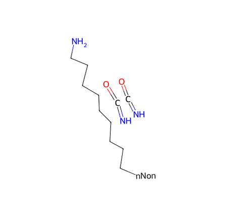 CCCCCCCCCCCCCCCCCCN.N=C=O.N=C=O